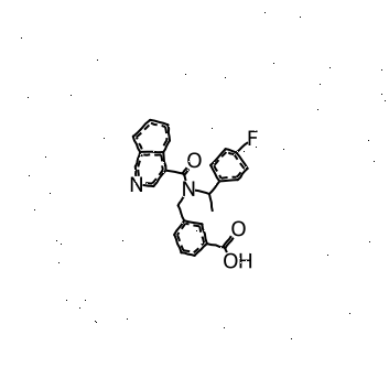 CC(c1ccc(F)cc1)N(Cc1cccc(C(=O)O)c1)C(=O)c1cncc2ccccc12